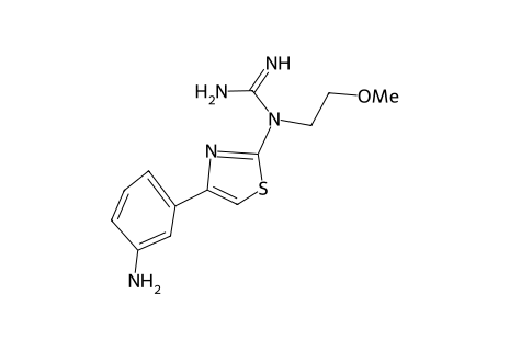 COCCN(C(=N)N)c1nc(-c2cccc(N)c2)cs1